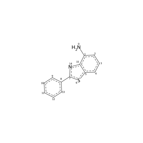 Nc1cccc2sc(-c3ccccc3)nc12